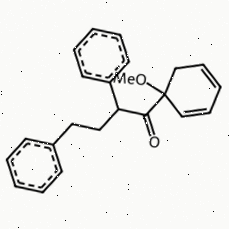 COC1(C(=O)C(CCc2ccccc2)c2ccccc2)C=CC=CC1